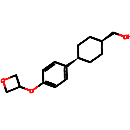 OC[C@H]1CC[C@H](c2ccc(OC3COC3)cc2)CC1